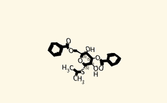 CC(C)S[C@@H]1O[C@@H](COC(=O)c2ccccc2)[C@H](O)[C@H](OC(=O)c2ccccc2)[C@@H]1O